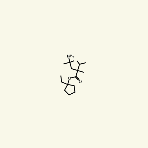 CCC1(OC(=O)C(C)(CC(C)(C)N)C(C)C)CCCC1